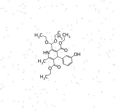 CCOC(=O)C1=C(C)NC(C(OCC)OCC)=C(C(=O)OCC)C1c1cccc(O)c1